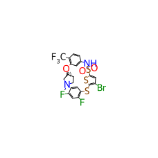 CN1CC[C@@H](Oc2cc(NS(=O)(=O)c3cc(Br)c(Sc4ccc(F)cc4F)s3)ccc2C(F)(F)F)C1